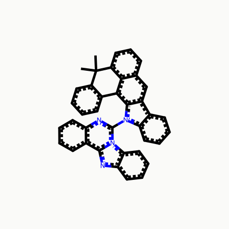 CC1(C)c2ccccc2-c2c3c1cccc3cc1c3ccccc3n(-c3nc4ccccc4c4nc5ccccc5n34)c21